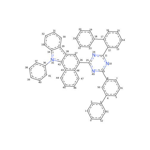 c1ccc(-c2cccc(-c3nc(-c4ccccc4-c4ccccc4)nc(-c4cc5c6ccccc6n(-c6ccccc6)c5c5ccccc45)n3)c2)cc1